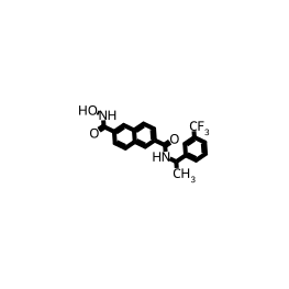 CC(NC(=O)c1ccc2cc(C(=O)NO)ccc2c1)c1cccc(C(F)(F)F)c1